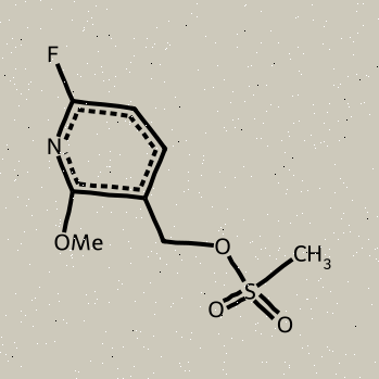 COc1nc(F)ccc1COS(C)(=O)=O